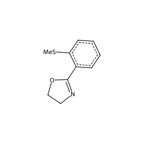 CSc1ccccc1C1=NCCO1